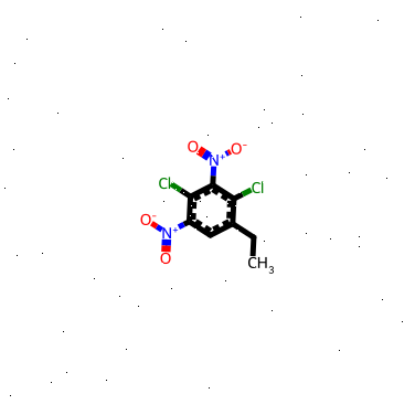 CCc1cc([N+](=O)[O-])c(Cl)c([N+](=O)[O-])c1Cl